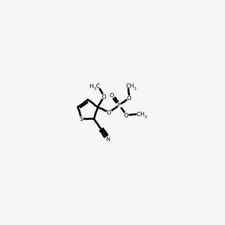 COC1(OP(=O)(OC)OC)C=CSC1C#N